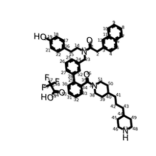 O=C(Cc1ccc2ccccc2c1)N(CCc1ccc(O)cc1)Cc1cccc(-c2ccccc2C(=O)N2CCC(CCCC3CCNCC3)CC2)c1.O=C(O)C(F)(F)F